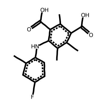 Cc1cc(F)ccc1Nc1c(C)c(C)c(C(=O)O)c(C)c1C(=O)O